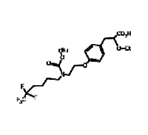 CCCCOC(=O)N(CCCCC(F)(F)C(F)(F)F)CCOc1ccc(CC(OCC)C(=O)O)cc1